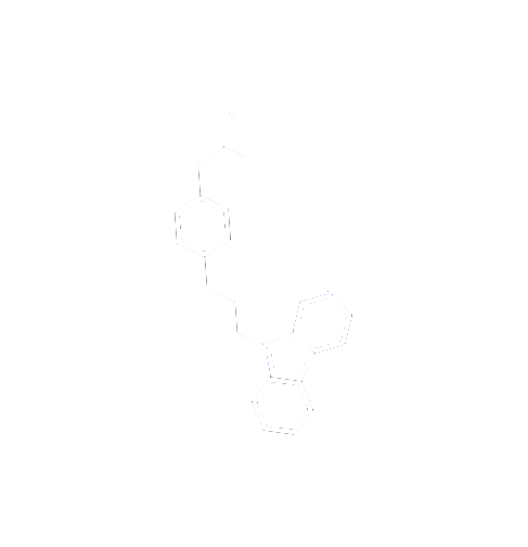 CO[C@@H](Cc1ccc(CCCn2c3ccccc3c3ccncc32)cc1)C(=O)O